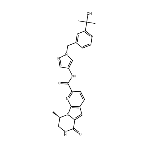 C[C@@H]1CNC(=O)c2cc3ccc(C(=O)Nc4cnn(Cc5ccnc(C(C)(C)O)c5)c4)nc3n21